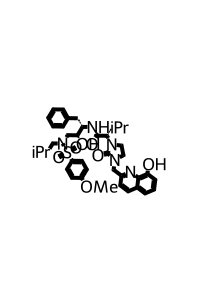 COc1ccc(S(=O)(=O)N(CC(C)C)C[C@@H](O)[C@H](Cc2ccccc2)NC(=O)[C@H](C(C)C)N2CCN(Cc3ccc4cccc(O)c4n3)C2=O)cc1